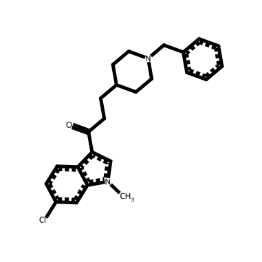 Cn1cc(C(=O)CCC2CCN(Cc3ccccc3)CC2)c2ccc(Cl)cc21